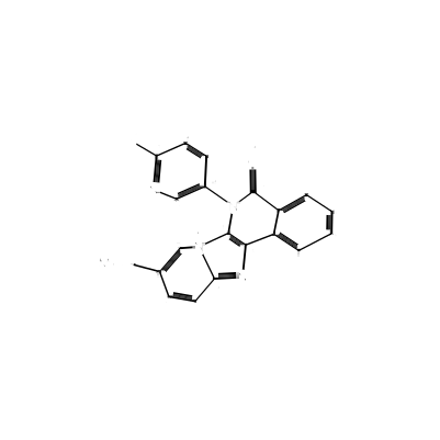 COc1ccc2nc3c4ccccc4c(=O)n(-c4ccc(Br)nc4)c3n2c1